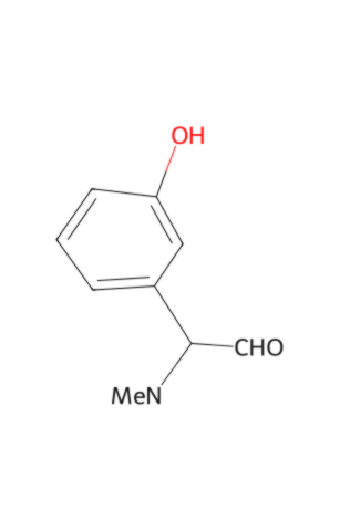 CNC(C=O)c1cccc(O)c1